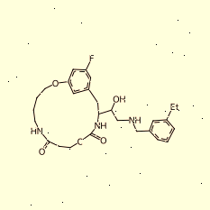 CCc1cccc(CNCC(O)C2Cc3cc(F)cc(c3)OCCCCNC(=O)CCCC(=O)N2)c1